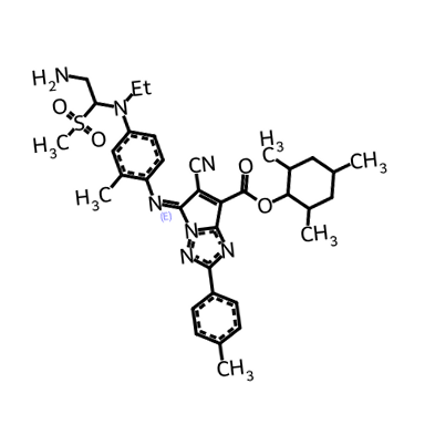 CCN(c1ccc(/N=C2\C(C#N)=C(C(=O)OC3C(C)CC(C)CC3C)c3nc(-c4ccc(C)cc4)nn32)c(C)c1)C(CN)S(C)(=O)=O